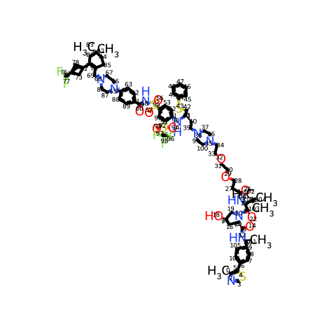 Cc1ncsc1-c1ccc([C@H](C)NC(=O)[C@@H]2C[C@@H](O)CN2C(=O)C(NC(=O)CCOCCOCCN2CCN(CC[C@H](CSc3ccccc3)Nc3ccc(S(=O)(=O)NC(=O)c4ccc(N5CCN(CC6=C(C78CC(C(F)F)(C7)C8)CC(C)(C)CC6)CC5)cc4)cc3S(=O)(=O)C(F)(F)F)CC2)C(C)(C)C)cc1